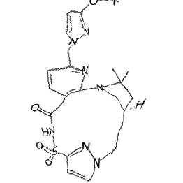 CC1(C)C[C@H]2CCn3ccc(n3)S(=O)(=O)NC(=O)c3ccc(-n4ccc(OF)n4)nc3N1C2